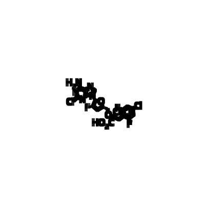 Nc1nc(Cl)nc2c1ncn2[C@@H]1O[C@H](COC(Cc2c(F)cc(Cl)cc2F)(C(=O)O)C(=O)O)C[C@@H]1F